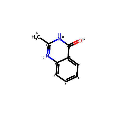 Cc1nc2c[c]ccc2c(=O)[nH]1